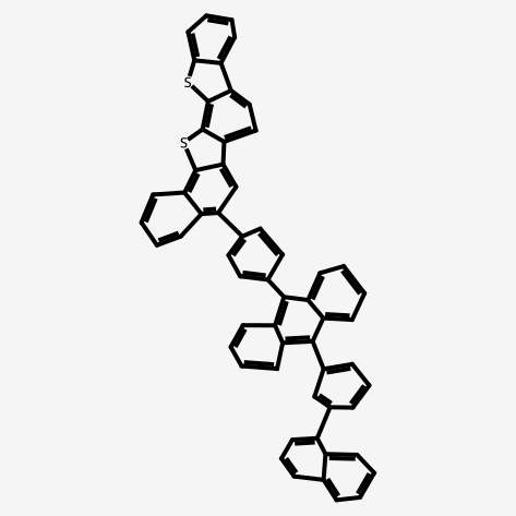 c1cc(-c2cccc3ccccc23)cc(-c2c3ccccc3c(-c3ccc(-c4cc5c6ccc7c8ccccc8sc7c6sc5c5ccccc45)cc3)c3ccccc23)c1